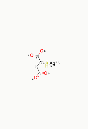 O=C([O-])CC(S)C(=O)[O-].[Ag+2]